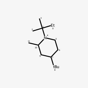 CCC(C)(C)N1CCC(C(C)(C)C)CC1C